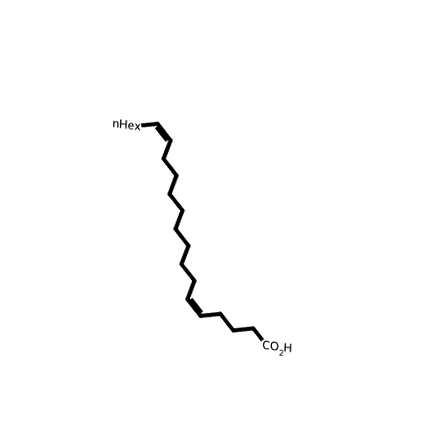 CCCCCC/C=C\CCCCCCCC/C=C\CCCC(=O)O